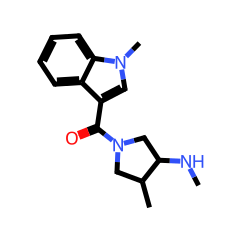 CNC1CN(C(=O)c2cn(C)c3ccccc23)CC1C